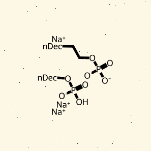 CCCCCCCCCCCCOP(=O)([O-])[O-].CCCCCCCCCCOP(=O)([O-])O.[Na+].[Na+].[Na+]